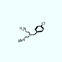 CNCCN(CCN)Cc1ccc(Cl)cc1